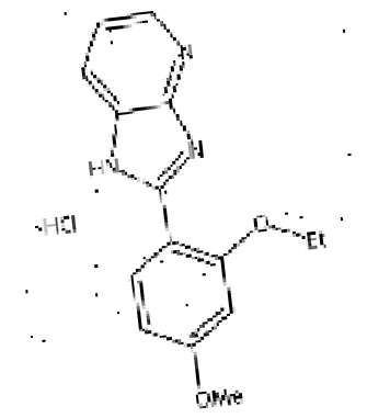 CCOc1cc(OC)ccc1-c1nc2ncccc2[nH]1.Cl